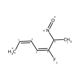 C/C=C\C=C(\F)C(C)N=O